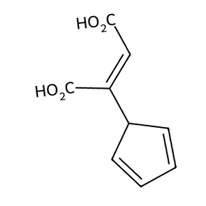 O=C(O)/C=C(\C(=O)O)C1C=CC=C1